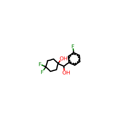 OC(c1cccc(F)c1)C1(O)CCC(F)(F)CC1